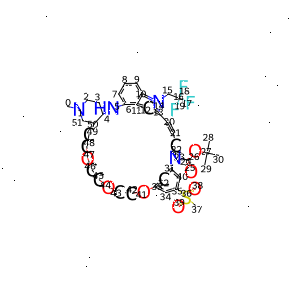 CN1CCC2Nc3cccc4c3cc(n4CC(F)(F)F)C#CCN(C(=O)OC(C)(C)C)c3cc(cc(S(C)(=O)=O)c3)OCCOCCOCCC2C1